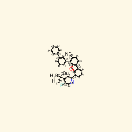 BC(B)(c1cc(-c2cccc3c2oc2c(-c4cccc(-c5ccccc5)c4)c(C#N)ccc23)ncc1F)C(C)(C)C